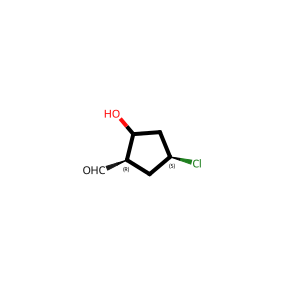 O=C[C@@H]1C[C@H](Cl)CC1O